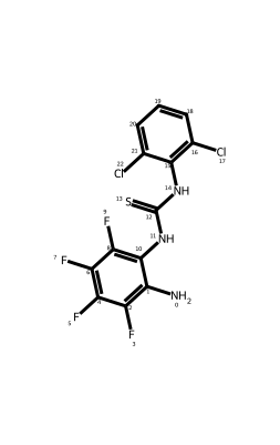 Nc1c(F)c(F)c(F)c(F)c1NC(=S)Nc1c(Cl)cccc1Cl